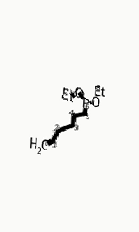 C=CCCCCP(OCC)OCC